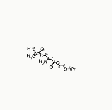 CCCOCCOC(=O)C=C(N)COC(=O)N(C)C